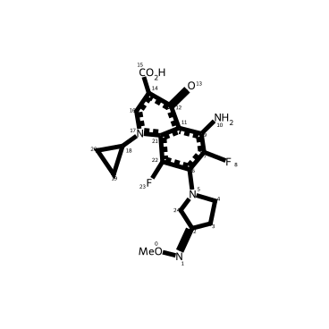 CON=C1CCN(c2c(F)c(N)c3c(=O)c(C(=O)O)cn(C4CC4)c3c2F)C1